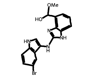 COC(O)c1cccc2[nH]c(Nc3c[nH]c4ccc(Br)cc34)nc12